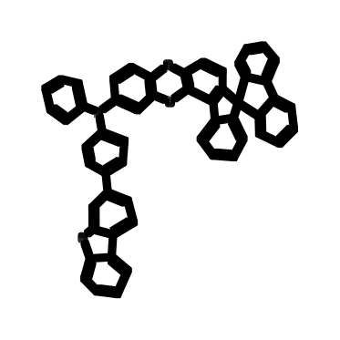 c1ccc(N(c2ccc(-c3ccc4c(c3)oc3ccccc34)cc2)c2ccc3c(c2)Oc2c(ccc4c2-c2ccccc2C42c4ccccc4-c4ccccc42)O3)cc1